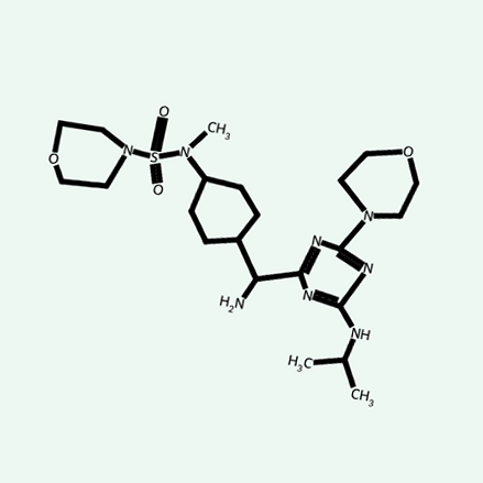 CC(C)Nc1nc(C(N)C2CCC(N(C)S(=O)(=O)N3CCOCC3)CC2)nc(N2CCOCC2)n1